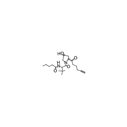 C#CCCCC(=O)[C@@H]1C[C@@H](O)CN1C(=O)C(NC(=O)CCCC)C(C)(C)C